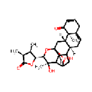 C[C@@H]1[C@H](C)C(=O)O[C@@H]1C1OC23C[C@H]4[C@@H](CC=C5CC=CC(=O)[C@@]54C)[C@@]4(O)CC(O2)C([C@H]34)[C@@]1(C)O